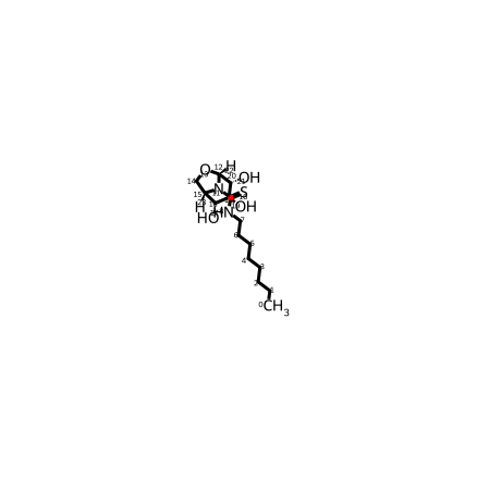 CCCCCCCCNC(=S)N1[C@@H]2OC[C@H]1[C@@H](O)[C@H](O)[C@H]2O